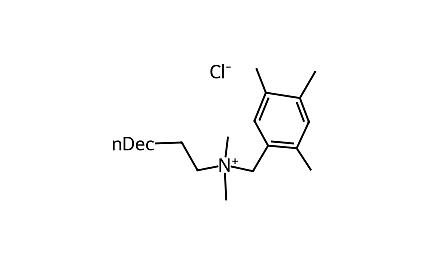 CCCCCCCCCCCC[N+](C)(C)Cc1cc(C)c(C)cc1C.[Cl-]